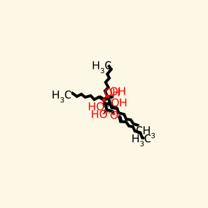 CCCCCCCC=COC[C@@H](O)[C@](O)(C=CCCCCCCC)[C@@](O)(C=CCCCCCCC)[C@](O)(C=CCCCCCCC)CO